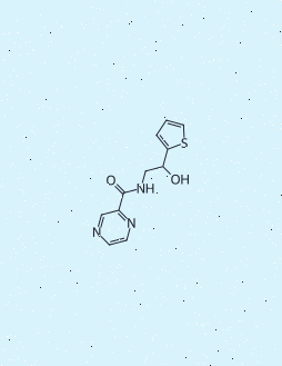 O=C(NCC(O)c1cccs1)c1cnccn1